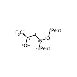 CCCCCON(CCCCC)C[C@@H](O)C(F)(F)F